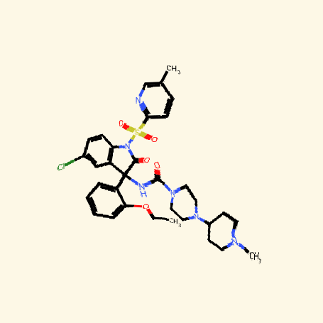 CCOc1ccccc1C1(NC(=O)N2CCN(C3CCN(C)CC3)CC2)C(=O)N(S(=O)(=O)c2ccc(C)cn2)c2ccc(Cl)cc21